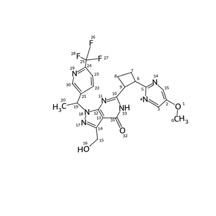 COc1cnc(C2CCC2c2nc3c(c(CO)nn3C(C)c3ccc(C(F)(F)F)nc3)c(=O)[nH]2)nc1